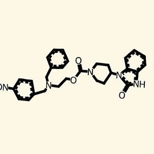 O=Nc1ccc(CN(CCOC(=O)N2CCC(n3c(=O)[nH]c4ccccc43)CC2)Cc2ccccc2)cc1